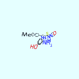 COC1=CCC(C2CC(C(=S)NN3CCOCC3)=NN2c2ccc(O)cc2N)C=C1